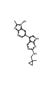 Cc1nc2ncc(-c3c[nH]c4nc(NCC5(C)CC5)ncc34)cc2n1C(C)C